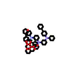 CC1(c2ccccc2)c2cc(-c3ccccc3)ccc2-c2cccc(-c3cccc(N(c4cccc(N(c5ccccc5)c5ccc(-c6ccccc6)cc5)c4)c4cccc(N(c5ccccc5)c5cccc(-c6cccc7ccccc67)c5)c4)c3)c21